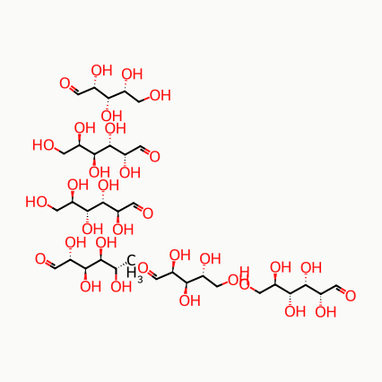 C[C@H](O)[C@H](O)[C@@H](O)[C@@H](O)C=O.O=C[C@@H](O)[C@@H](O)[C@H](O)[C@H](O)CO.O=C[C@@H](O)[C@H](O)[C@H](O)CO.O=C[C@H](O)[C@@H](O)[C@@H](O)[C@H](O)CO.O=C[C@H](O)[C@@H](O)[C@H](O)CO.O=C[C@H](O)[C@@H](O)[C@H](O)[C@H](O)CO